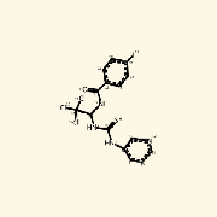 O=C(NC(NC(=S)Nc1cccnc1)C(Cl)(Cl)Cl)c1ccc(I)cc1